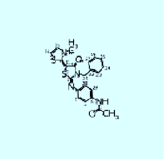 CC(=O)Nc1ccc(N=C2SC(=C3SC=CN3C)C(=O)N2Cc2ccccc2)cc1